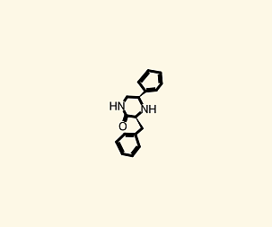 O=C1NC[C@@H](c2ccccc2)N[C@H]1Cc1ccccc1